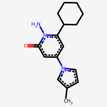 Cc1ccn(-c2cc(C3CCCCC3)n(N)c(=O)c2)c1